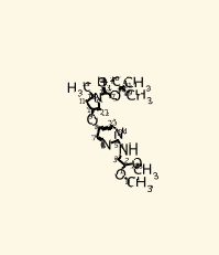 COC(CNc1ncc(OC2CC(C)N(C(=O)OC(C)(C)C)C2)cn1)OC